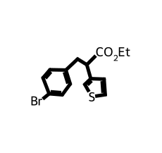 CCOC(=O)C(Cc1ccc(Br)cc1)c1ccsc1